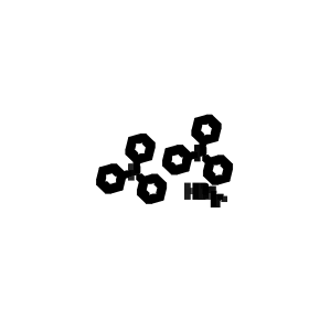 Br.[Ir].c1ccc(P(c2ccccc2)c2ccccc2)cc1.c1ccc(P(c2ccccc2)c2ccccc2)cc1